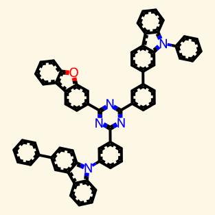 c1ccc(-c2ccc3c(c2)c2ccccc2n3-c2cccc(-c3nc(-c4cccc(-c5ccc6c7ccccc7n(-c7ccccc7)c6c5)c4)nc(-c4ccc5c(c4)oc4ccccc45)n3)c2)cc1